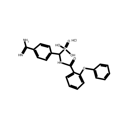 Cl.N=C(N)c1ccc(C(NC(=O)c2ccccc2Oc2ccccc2)P(=O)(O)O)cc1